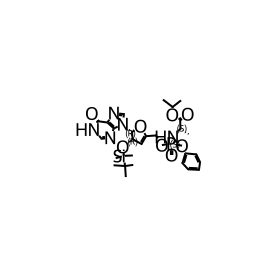 CC(C)OC(=O)[C@H](C)N[P@](=O)(OCC1=C[C@@H](O[Si](C)(C)C(C)(C)C)[C@H](n2cnc3c(=O)[nH]cnc32)O1)Oc1ccccc1